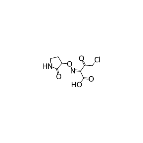 O=C(O)/C(=N/OC1CCNC1=O)C(=O)CCl